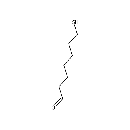 O=[C]CCCCCCS